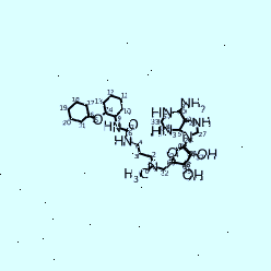 CN(CCCNC(=O)NC1CCCCC1OC1CCCCC1)C[C@H]1O[C@@H](N2CNC3C(N)NCNC32)[C@H](O)[C@@H]1O